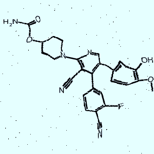 COc1ccc(-c2cnc(N3CCC(OC(N)=O)CC3)c(C#N)c2-c2ccc(C#N)c(F)c2)cc1O